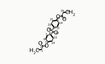 C=CC(=O)Oc1ccc(S(=O)(=O)c2ccc(OC(=O)C=C)cc2)cc1